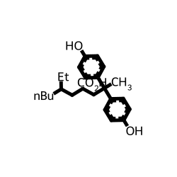 CCCCC(CC)CC(CC(C)(c1ccc(O)cc1)c1ccc(O)cc1)C(=O)O